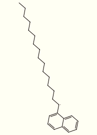 CCCCCCCCCCCCCCC[CH]c1cccc2ccccc12